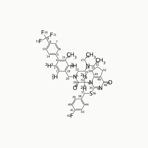 [2H]c1c([2H])c(-c2ccc(C(F)(F)F)cc2)c(C)c([2H])c1CN(CCN(CC)CC)C(=O)C([2H])([2H])n1c(SCc2ccc(F)cc2)nc(=O)c2c1CCC2